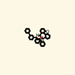 c1ccc(-c2cccc(-c3cc(-c4ccccc4)nc(-c4cccc5oc6cccc(-c7nc8ccccc8s7)c6c45)n3)c2)cc1